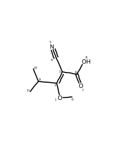 COC(=C(C#N)C(=O)O)C(C)C